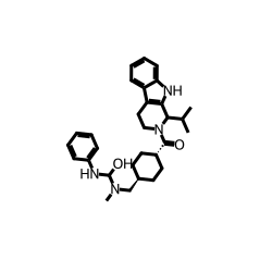 CC(C)C1c2[nH]c3ccccc3c2CCN1C(=O)[C@H]1CC[C@H](CN(C)C(O)Nc2ccccc2)CC1